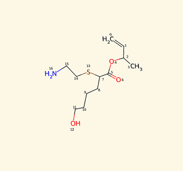 C=CC(C)OC(=O)C(CCCCO)SCCN